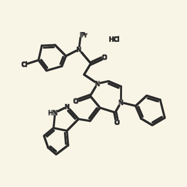 CC(C)N(C(=O)CN1C=CN(c2ccccc2)C(=O)C(=Cc2n[nH]c3ccccc23)C1=O)c1ccc(Cl)cc1.Cl